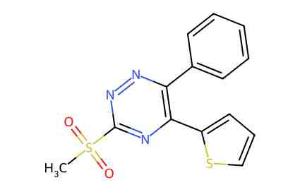 CS(=O)(=O)c1nnc(-c2ccccc2)c(-c2cccs2)n1